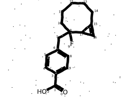 O=C(O)c1ccc(CC2(F)CCCCCC3=CC32)cc1